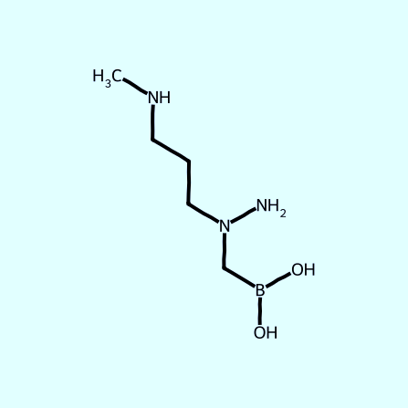 CNCCCN(N)CB(O)O